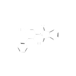 O=C(O)CC(C(O)Cc1ccccc1)N1C(=O)c2ccccc2C1=O